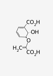 C=C(O[C@H]1C=CC=C(C(=O)O)[C@@H]1O)C(=O)O